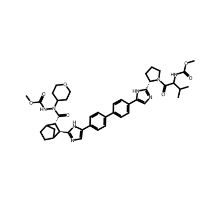 COC(=O)NC(C(=O)N1CCC[C@H]1c1ncc(-c2ccc(-c3ccc(-c4cnc([C@H]5C6CCC(C6)[C@@H]5C(=O)N(NC(=O)OC)C5CCOCC5)[nH]4)cc3)cc2)[nH]1)C(C)C